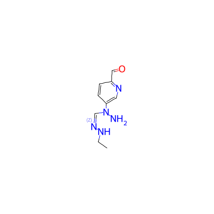 CCN/N=C\N(N)c1ccc(C=O)nc1